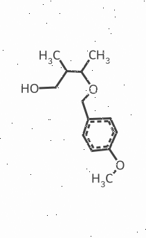 COc1ccc(COC(C)C(C)CO)cc1